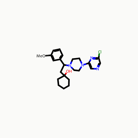 COc1cccc(C(CC2(O)CCCCC2)N2CCN(c3cncc(Cl)n3)CC2)c1